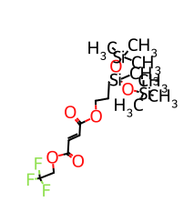 C[Si](C)(C)O[Si](C)(CCCOC(=O)/C=C/C(=O)OCC(F)(F)F)O[Si](C)(C)C